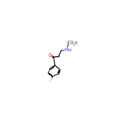 O=C(O)NCCC(=O)c1ccc(F)cc1